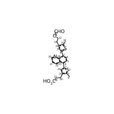 Cc1sc(-c2ccc(-c3cc(CCOC=O)c(C)s3)c3ncccc23)cc1CCC(=O)O